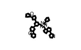 c1ccc(-c2nc(-c3cc(-c4ccc5oc6ccccc6c5c4)cc(-c4ccc5oc6ccccc6c5c4)c3)nc(-c3cccc4c(-c5cccnc5)cccc34)n2)cc1